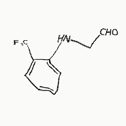 O=CCNc1ccccc1C(F)(F)F